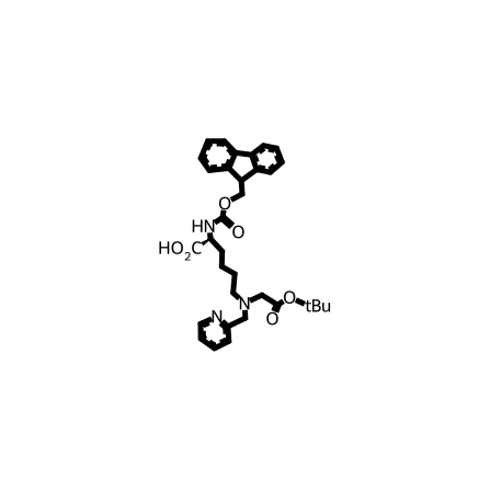 CC(C)(C)OC(=O)CN(CCCC[C@H](NC(=O)OCC1c2ccccc2-c2ccccc21)C(=O)O)Cc1ccccn1